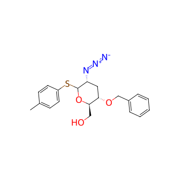 Cc1ccc(SC2O[C@H](CO)[C@@H](OCc3ccccc3)C[C@H]2N=[N+]=[N-])cc1